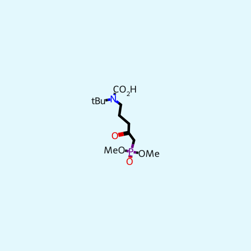 COP(=O)(CC(=O)CCCN(C(=O)O)C(C)(C)C)OC